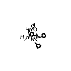 CCOC(=O)Nc1cc2c(nc(SCc3ccccc3)n2/N=C/c2ccccc2)c(N)n1